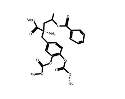 CCC(C)OC(=O)Oc1cc(C[C@](N)(CC(C)OC(=O)c2ccccc2)C(=O)OC)ccc1OC(=O)O[C@@H](C)CC